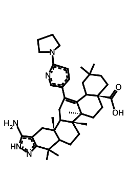 CC1(C)CC[C@]2(C(=O)O)CC[C@]3(C)C(=C(c4ccc(N5CCCC5)nc4)CC4[C@@]5(C)Cc6c(n[nH]c6N)C(C)(C)C5CC[C@]43C)C2C1